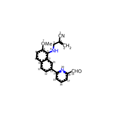 C=C(C#N)CNc1c(OC)ccc2ccc(-c3cccc(C=O)n3)cc12